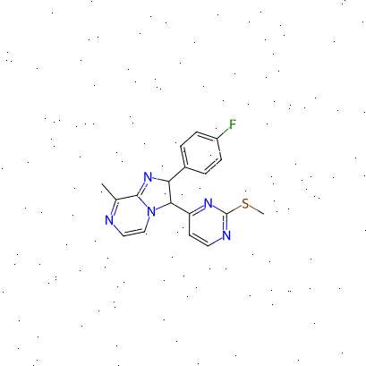 CSc1nccc(C2C(c3ccc(F)cc3)N=C3C(C)=NC=CN32)n1